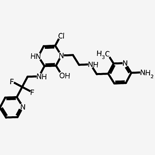 Cc1nc(N)ccc1CNCCN1C(Cl)=CNC(NCC(F)(F)c2ccccn2)=C1O